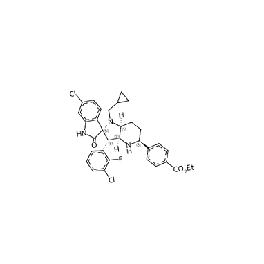 CCOC(=O)c1ccc([C@@H]2CC[C@H]3[C@@H](N2)[C@H](c2cccc(Cl)c2F)[C@]2(C(=O)Nc4cc(Cl)ccc42)N3CC2CC2)cc1